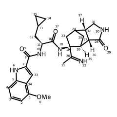 COc1cccc2[nH]c(C(=O)N[C@@H](CC3CC3)C(=O)N[C@@]3(C(C)=N)CC4C[C@H]3[C@H]3C(=O)NC[C@@H]43)cc12